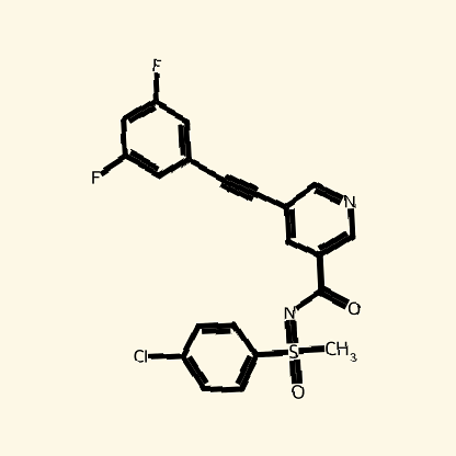 CS(=O)(=NC(=O)c1cncc(C#Cc2cc(F)cc(F)c2)c1)c1ccc(Cl)cc1